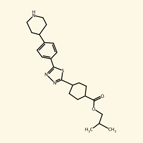 CC(C)COC(=O)C1CCC(c2nnc(-c3ccc(C4CCNCC4)cc3)s2)CC1